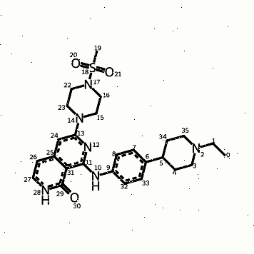 CCN1CCC(c2ccc(Nc3nc(N4CCN(S(C)(=O)=O)CC4)cc4cc[nH]c(=O)c34)cc2)CC1